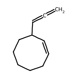 C=C=CC1C=CCCCCC1